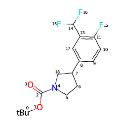 CC(C)(C)OC(=O)N1CCC(c2ccc(F)c(C(F)F)c2)C1